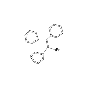 CCCC(=C(c1ccccc1)c1ccccc1)c1ccccc1